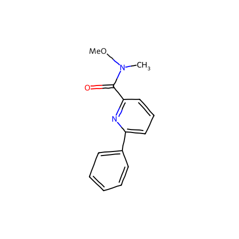 CON(C)C(=O)c1cccc(-c2ccccc2)n1